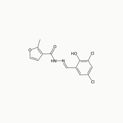 Cc1occc1C(=O)N/N=C/c1cc(Cl)cc(Cl)c1O